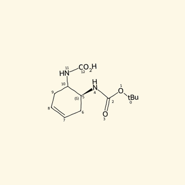 CC(C)(C)OC(=O)N[C@H]1CC=CCC1NC(=O)O